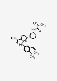 C=Nc1ccc(Nc2nc(N3CCC[C@@H](NC(=O)N(C)C)C3)cnc2C(N)=O)cc1/C=C\C